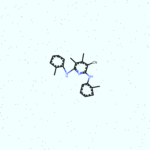 Cc1ccccc1Nc1nc(Nc2ccccc2C)c(C#N)c(C)c1C